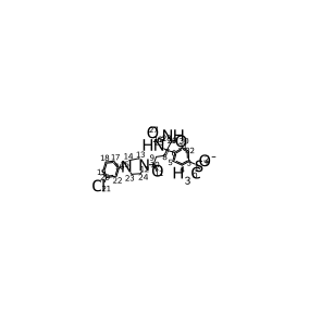 C[S+]([O-])c1ccc(C2(CCC(=O)N3CCN(c4cccc(Cl)c4)CC3)NC(=O)NC2=O)cc1